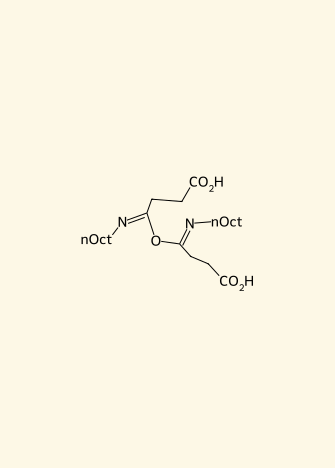 CCCCCCCCN=C(CCC(=O)O)OC(CCC(=O)O)=NCCCCCCCC